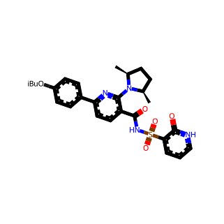 CC(C)COc1ccc(-c2ccc(C(=O)NS(=O)(=O)c3ccc[nH]c3=O)c(N3[C@H](C)CC[C@@H]3C)n2)cc1